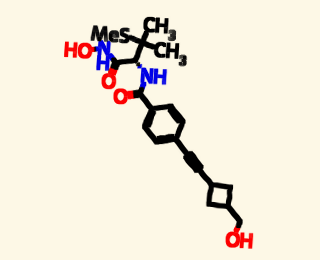 CSC(C)(C)[C@H](NC(=O)c1ccc(C#CC2CC(CO)C2)cc1)C(=O)NO